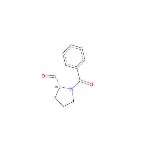 O=C[C@H]1CCCN1C(=O)c1ccccc1